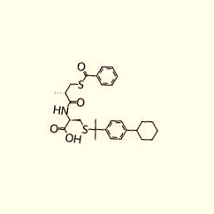 C[C@H](CSC(=O)c1ccccc1)C(=O)N[C@@H](CSC(C)(C)c1ccc(C2CCCCC2)cc1)C(=O)O